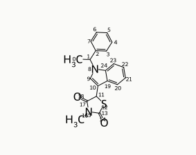 CC(c1ccccc1)n1cc(C2SC(=O)N(C)C2=O)c2ccccc21